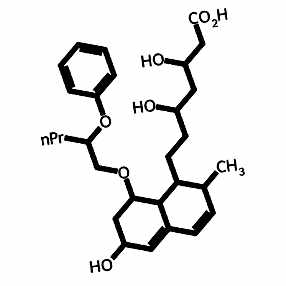 CCCC(COC1CC(O)C=C2C=CC(C)C(CCC(O)CC(O)CC(=O)O)C21)Oc1ccccc1